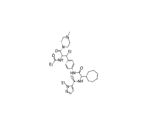 CCC(=O)NC(C(=O)N1CCN(C)CC1)C(CC)c1ccc(NC(=O)C(NC(=O)c2ccnn2CC)C2CCCCCC2)cc1